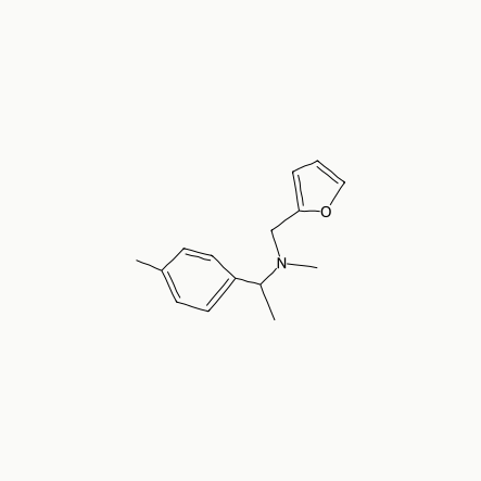 Cc1ccc(C(C)N(C)Cc2ccco2)cc1